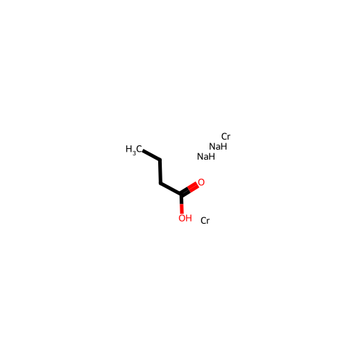 CCCC(=O)O.[Cr].[Cr].[NaH].[NaH]